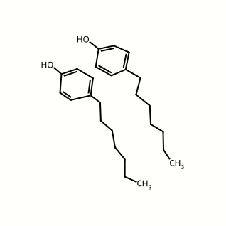 CCCCCCCc1ccc(O)cc1.CCCCCCCc1ccc(O)cc1